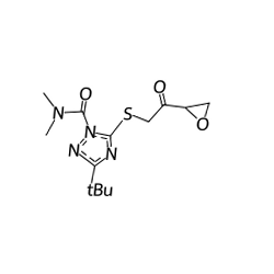 CN(C)C(=O)n1nc(C(C)(C)C)nc1SCC(=O)C1CO1